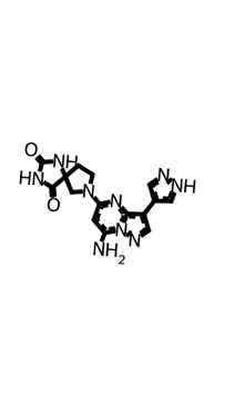 Nc1cc(N2CCC3(C2)NC(=O)NC3=O)nc2c(-c3cn[nH]c3)cnn12